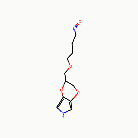 O=NCCCCOCC1COc2c[nH]cc2O1